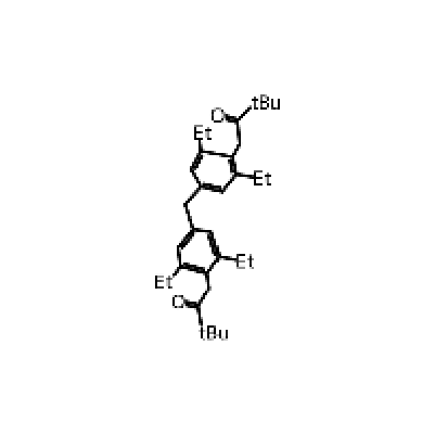 CCc1cc(Cc2cc(CC)c(CC(=O)C(C)(C)C)c(CC)c2)cc(CC)c1CC(=O)C(C)(C)C